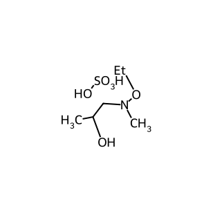 CCON(C)CC(C)O.O=S(=O)(O)O